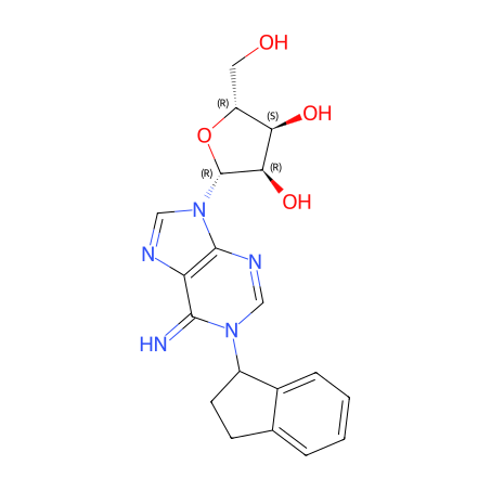 N=c1c2ncn([C@@H]3O[C@H](CO)[C@@H](O)[C@H]3O)c2ncn1C1CCc2ccccc21